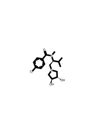 CC(C)[C@@H](CN1C[C@H](O)[C@@H](O)C1)N(C)C(=O)c1ccc(Cl)cc1